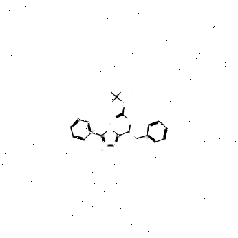 CC(C)(C)NC(=O)O[C@@H](Cc1ccccc1)c1nnc(-c2ccccc2)o1